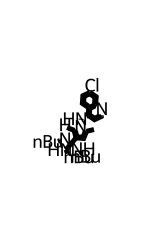 CCCCNC(NCCCC)(NCCCC)c1cc(C)n(Nc2ccnc3cc(Cl)ccc23)c1C